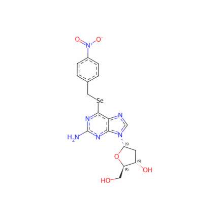 Nc1nc([Se]Cc2ccc([N+](=O)[O-])cc2)c2ncn([C@@H]3C[C@H](O)[C@@H](CO)O3)c2n1